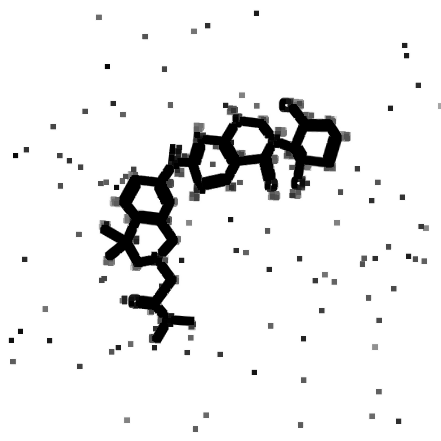 CN(C)C(=O)CN1Cc2cc(Nc3ncc4c(n3)SCN(c3c(Cl)cccc3Cl)C4=O)ccc2C(C)(C)C1